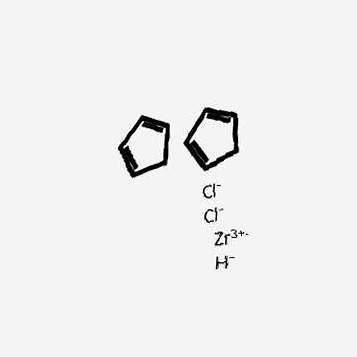 C1=CCC=C1.C1=CCC=C1.[Cl-].[Cl-].[H-].[Zr+3]